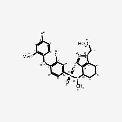 COc1cc(F)ccc1Oc1ccc(S(=O)(=O)N(C)C2CCCc3c2cnn3CC(=O)O)cc1Cl